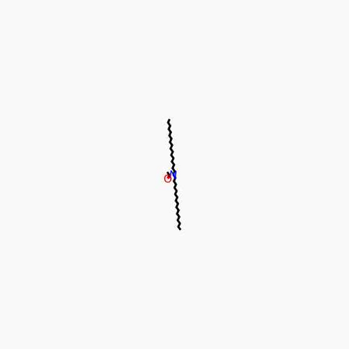 CCCCCCCCCCCCCCCCCN(CCCCCCCCCCCCCCCCC)C(C)=O